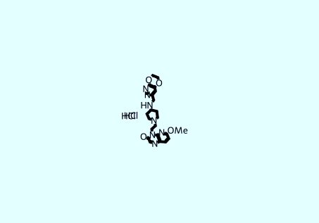 COc1ccc2ncc(=O)n(CCN3CCC(NCc4cc5c(nn4)OCCO5)CC3)c2n1.Cl.Cl